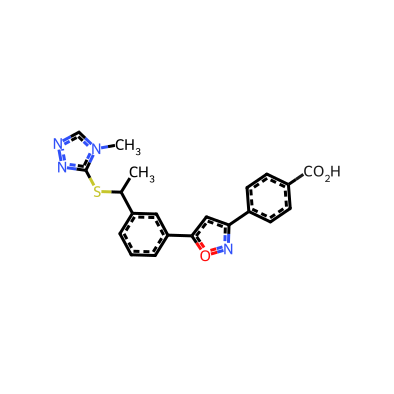 CC(Sc1nncn1C)c1cccc(-c2cc(-c3ccc(C(=O)O)cc3)no2)c1